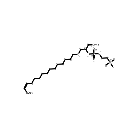 CCCCCCCC/C=C\CCCCCCCCCCCCOC[C@@H](COC)OP(=O)([O-])OCC[N+](C)(C)C